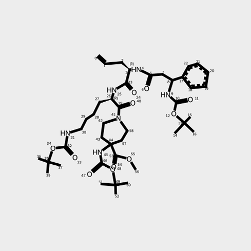 C=CC[C@@H](NC(=O)CC(NC(=O)OC(C)(C)C)c1ccccc1)C(=O)N[C@H](CCCCNC(=O)OC(C)(C)C)C(=O)N1CCC(NC(=O)OC(C)(C)C)(C(=O)OC)CC1